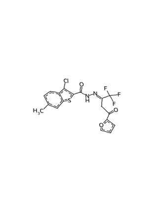 Cc1ccc2c(Cl)c(C(=O)N/N=C(\CC(=O)c3ccco3)C(F)(F)F)sc2c1